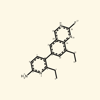 CCc1nc(N)ccc1-c1cc(CC)c2nc(F)ncc2c1